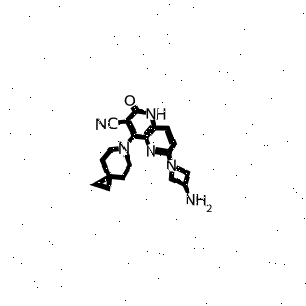 N#Cc1c(N2CCC3(CC2)CC3)c2nc(N3CC(N)C3)ccc2[nH]c1=O